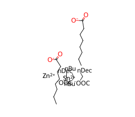 CCCCCCCC(=O)[O-].CCCCCCCC(=O)[O-].CCCCCCCCCCCC(=O)[O-].CCCCCCCCCCCC(=O)[O-].CCC[CH2][Sn+2][CH2]CCC.[Zn+2]